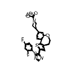 CC(C)(C)OC(=O)N1CC(c2ccc3c(c2)OCCc2cc(-c4ncnn4-c4ccc(F)cc4F)sc2-3)C1